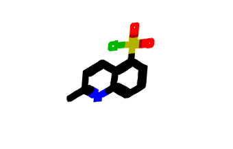 Cc1ccc2c(S(=O)(=O)Cl)cccc2n1